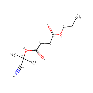 CCCOC(=O)CCC(=O)OC(C)(C)C#N